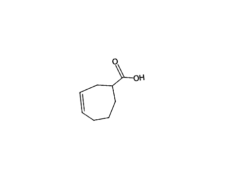 O=C(O)C1CC=CCCC1